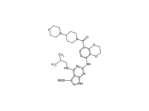 CC(C)CNc1nc(Nc2ccc(C(=O)N3CCC(N4CCOCC4)CC3)c3c2OCCO3)nc2[nH]cc(C#N)c12